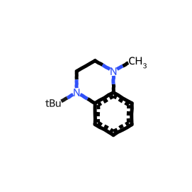 CN1CCN(C(C)(C)C)c2ccccc21